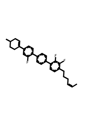 C/C=C\CCCc1ccc(-c2ccc(-c3ccc(C4=CCC(C)CC4)cc3F)cc2)c(F)c1F